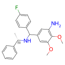 COc1cc(C(N[C@@H](C)c2ccccc2)c2ccc(F)cc2)cc(N)c1OC